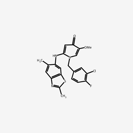 COc1cn(Cc2ccc(F)c(Cl)c2)c(Nc2cc3sc(C)nc3cc2C)cc1=O